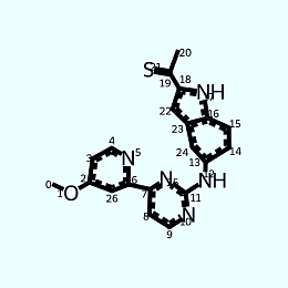 COc1ccnc(-c2ccnc(Nc3ccc4[nH]c(C(C)=S)cc4c3)n2)c1